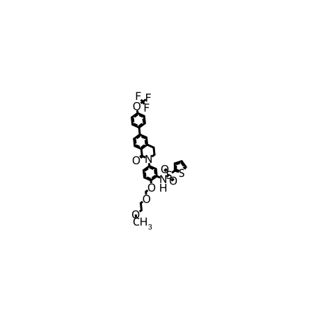 COCCOCOc1ccc(N2CCc3cc(-c4ccc(OC(F)(F)F)cc4)ccc3C2=O)cc1NS(=O)(=O)c1cccs1